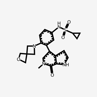 Cn1cc(-c2cc(NS(=O)(=O)C3CC3)ccc2N2CC3(COC3)C2)c2cc[nH]c2c1=O